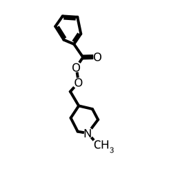 CN1CCC(COOC(=O)c2ccccc2)CC1